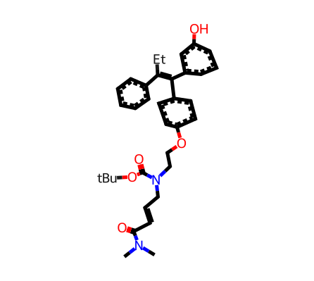 CC/C(=C(/c1ccc(OCCN(C/C=C/C(=O)N(C)C)C(=O)OC(C)(C)C)cc1)c1cccc(O)c1)c1ccccc1